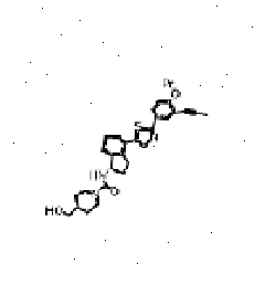 CC#Cc1cc(-c2ncc(-c3cccc4c3CC[C@@H]4NC(=O)N3CCC(CO)CC3)s2)ccc1OC(C)C